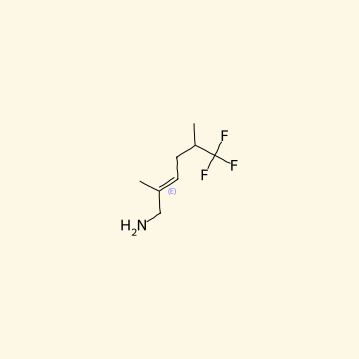 C/C(=C\CC(C)C(F)(F)F)CN